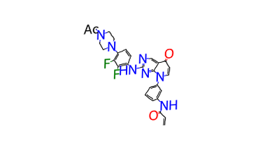 C=CC(=O)Nc1cccc(-n2ccc(=O)c3cnc(Nc4ccc(N5CCN(C(C)=O)CC5)c(F)c4F)nc32)c1